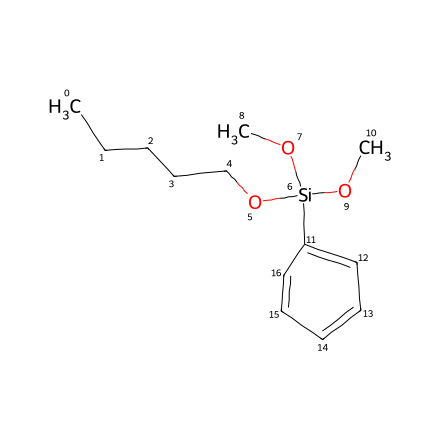 CCCCCO[Si](OC)(OC)c1ccccc1